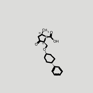 C[C@@H]1CC(=O)[C@H](CO[C@H]2CC[C@@H](c3ccccc3)CC2)N1C(=O)O